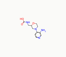 Nc1cnccc1N1CCOC(CNC(=O)O)C1